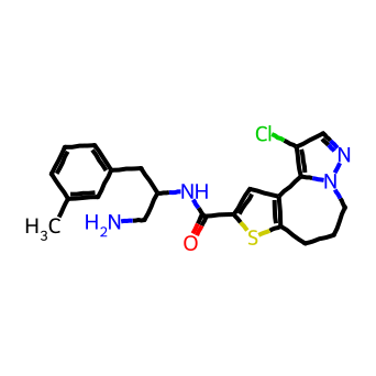 Cc1cccc(CC(CN)NC(=O)c2cc3c(s2)CCCn2ncc(Cl)c2-3)c1